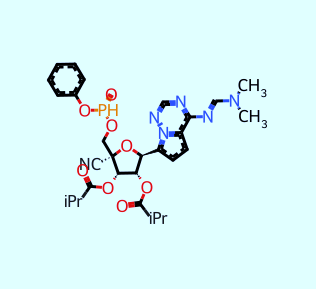 CC(C)C(=O)O[C@H]1[C@H](c2ccc3c(/N=C/N(C)C)ncnn23)O[C@](C#N)(CO[PH](=O)Oc2ccccc2)[C@H]1OC(=O)C(C)C